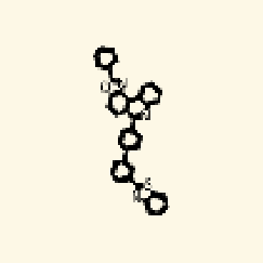 c1ccc(-c2nc3c(ccc4c(-c5ccc(-c6cccc(-c7nc8ccccc8s7)c6)cc5)nc5ccccc5c43)o2)cc1